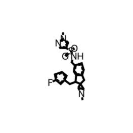 CN1C2C1C21Cc2ccc(CNS(=O)(=O)c3cnn(C)c3)cc2C1Cc1cccc(F)c1